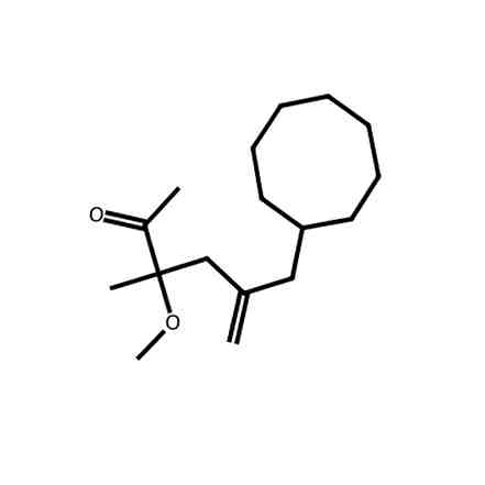 C=C(CC1CCCCCCC1)CC(C)(OC)C(C)=O